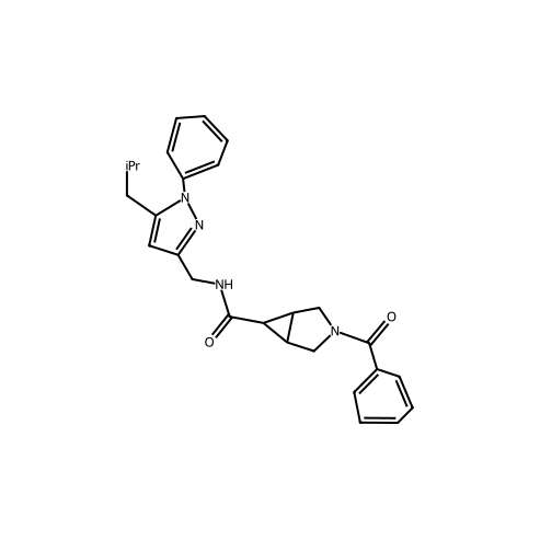 CC(C)Cc1cc(CNC(=O)C2C3CN(C(=O)c4ccccc4)CC32)nn1-c1ccccc1